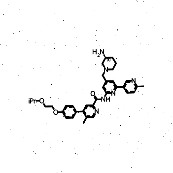 Cc1ccc(-c2cc(CN3CCC[C@H](N)C3)cc(NC(=O)c3cc(-c4ccc(OCCOC(C)C)cc4)c(C)cn3)n2)cn1